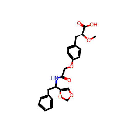 CO[C@@H](Cc1ccc(OCC(=O)NC(Cc2ccccc2)C2=COCO2)cc1)C(=O)O